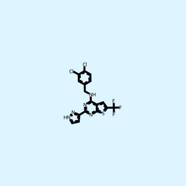 FC(F)(F)c1cc2c(NCc3ccc(Cl)c(Cl)c3)nc(-c3cc[nH]n3)nc2s1